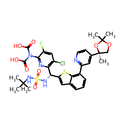 CC(C)(C)NS(=O)(=O)N[C@@H](c1cc2cccc(-c3cc([C@]4(C)COC(C)(C)O4)ccn3)c2s1)c1nc(N(C(=O)O)C(=O)O)c(F)cc1Cl